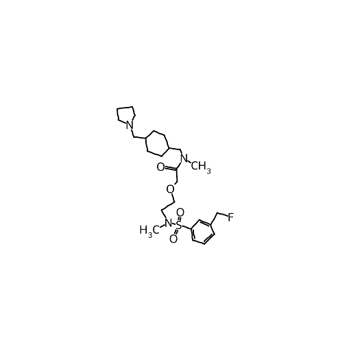 CN(CC1CCC(CN2CCCC2)CC1)C(=O)COCCN(C)S(=O)(=O)c1cccc(CF)c1